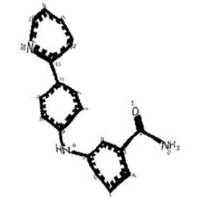 NC(=O)c1cccc(Nc2ccc(-c3ccccn3)cc2)c1